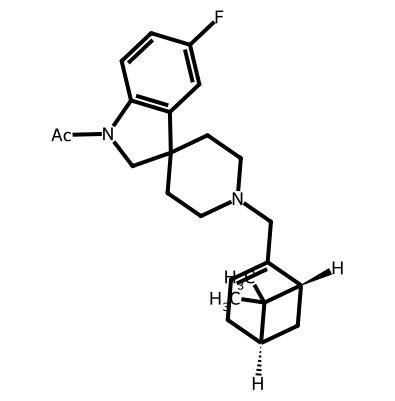 CC(=O)N1CC2(CCN(CC3=CC[C@@H]4C[C@@H]3C4(C)C)CC2)c2cc(F)ccc21